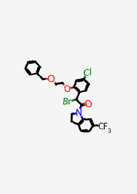 O=C(C(Br)c1ccc(Cl)cc1OCCOCc1ccccc1)N1CCc2ccc(C(F)(F)F)cc21